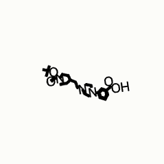 CC(C)(C)OC(=O)N1CCC(CCN2CCN(c3cccc(C(=O)O)c3)CC2)CC1